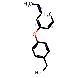 C\C=C/C=C(\C=C/C)Oc1ccc(CC)cc1